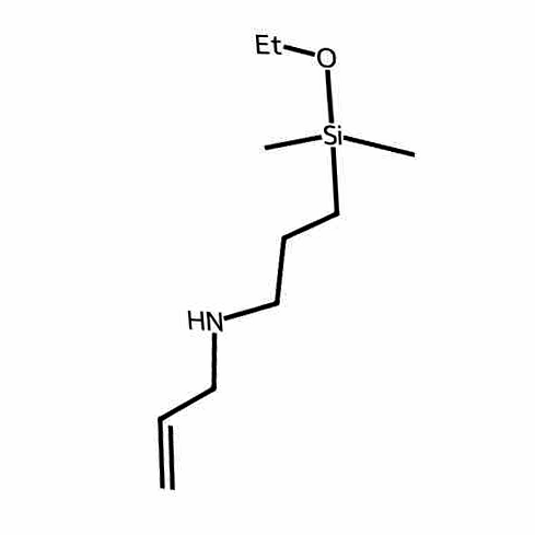 C=CCNCCC[Si](C)(C)OCC